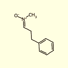 C/[N+]([O-])=C\CCc1ccccc1